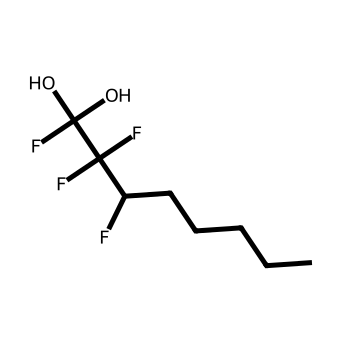 CCCCCC(F)C(F)(F)C(O)(O)F